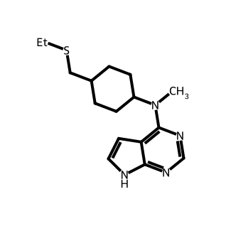 CCSCC1CCC(N(C)c2ncnc3[nH]ccc23)CC1